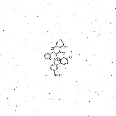 CC(=O)Nc1ccc(S(=O)(=O)O)c(-c2ccc(Cl)cc2CN(Cc2ccco2)C(=O)c2c(Cl)cccc2Cl)c1